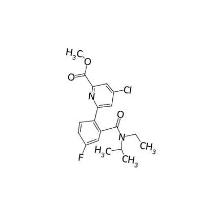 CCN(C(=O)c1cc(F)ccc1-c1cc(Cl)cc(C(=O)OC)n1)C(C)C